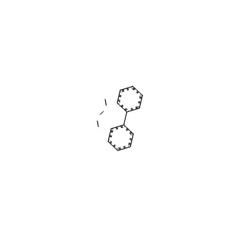 COOC.c1ccc(-c2ccccc2)cc1